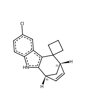 Clc1ccc2[nH]c3c(c2c1)C1(CCC1)[C@@H]1C=C[C@H]3C1